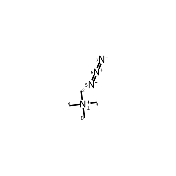 C[N+](C)(C)C.[N-]=[N+]=[N-]